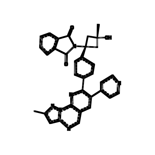 Cc1cc2ncc3cc(-c4ccncc4)c(-c4ccc([C@]5(N6C(=O)c7ccccc7C6=O)C[C@@](C)(O)C5)cc4)nc3n2n1